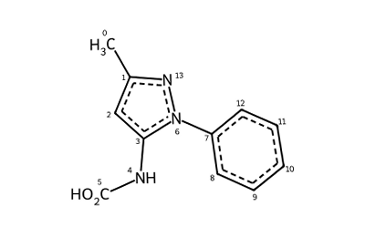 Cc1cc(NC(=O)O)n(-c2ccccc2)n1